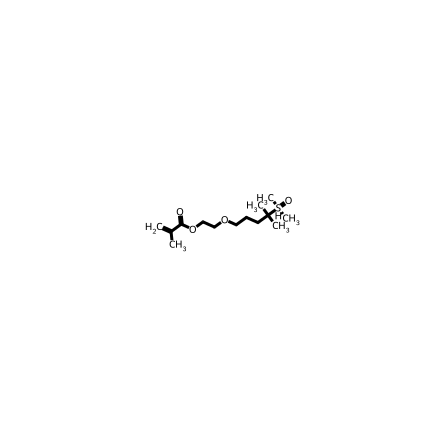 C=C(C)C(=O)OCCOCCCC(C)(C)[SH](C)(C)=O